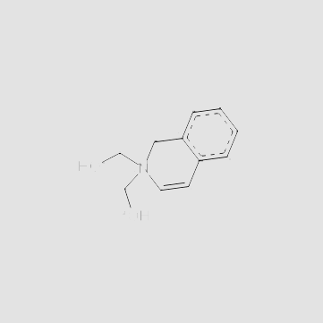 OC[N+]1(CO)C=Cc2ccccc2C1